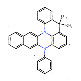 CC1(C)c2ccccc2N2c3cc4ccccc4cc3N(c3ccccc3)c3cccc1c32